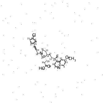 COc1ccc2nccc([C@H](F)CC[C@@H]3CCN(CC#Cc4ccc(Cl)s4)C[C@H]3CCC(=O)O)c2c1